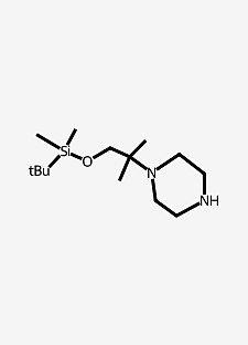 CC(C)(CO[Si](C)(C)C(C)(C)C)N1CCNCC1